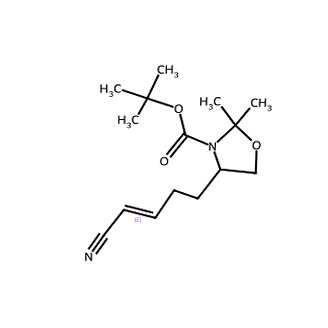 CC(C)(C)OC(=O)N1C(CC/C=C/C#N)COC1(C)C